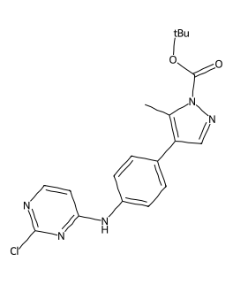 Cc1c(-c2ccc(Nc3ccnc(Cl)n3)cc2)cnn1C(=O)OC(C)(C)C